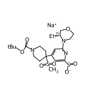 CC[C@H]1COCCN1c1cc(C2(S(C)(=O)=O)CCN(C(=O)OC(C)(C)C)CC2)cc(S(=O)[O-])n1.[Na+]